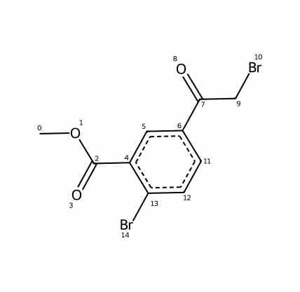 COC(=O)c1cc(C(=O)CBr)ccc1Br